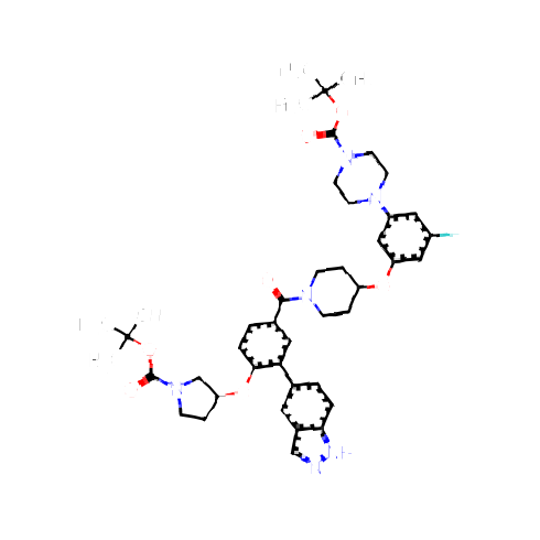 CC(C)(C)OC(=O)N1CCN(c2cc(F)cc(OC3CCN(C(=O)c4ccc(O[C@H]5CCN(C(=O)OC(C)(C)C)C5)c(-c5ccc6[nH]ncc6c5)c4)CC3)c2)CC1